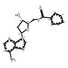 Nc1ncnc2c1ncn2[C@H]1C[C@H](O)[C@@H](COC(=O)c2ccccc2)O1